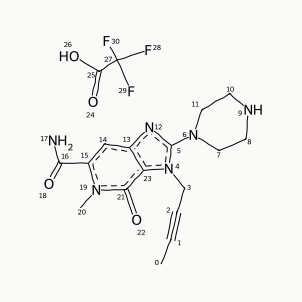 CC#CCn1c(N2CCNCC2)nc2cc(C(N)=O)n(C)c(=O)c21.O=C(O)C(F)(F)F